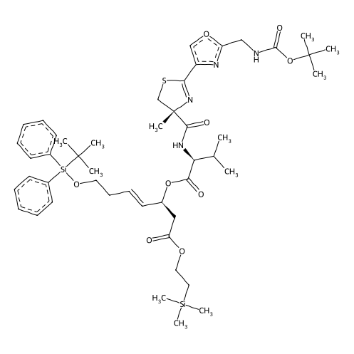 CC(C)[C@H](NC(=O)[C@]1(C)CSC(c2coc(CNC(=O)OC(C)(C)C)n2)=N1)C(=O)O[C@H](/C=C/CCO[Si](c1ccccc1)(c1ccccc1)C(C)(C)C)CC(=O)OCC[Si](C)(C)C